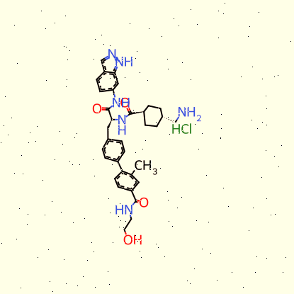 Cc1cc(C(=O)NCCO)ccc1-c1ccc(C[C@H](NC(=O)[C@H]2CC[C@H](CN)CC2)C(=O)Nc2ccc3cn[nH]c3c2)cc1.Cl